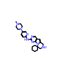 CN1CCN(c2ccc(Nc3ncc4cc5n(c4n3)C3(CCCCC3)CNC5)nc2)CC1